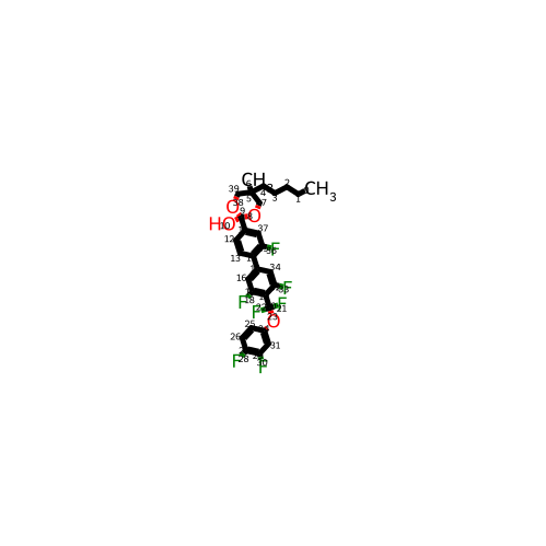 CCCCCC1(C)COC(O)(c2ccc(-c3cc(F)c(C(F)(F)Oc4ccc(F)c(F)c4)c(F)c3)c(F)c2)OC1